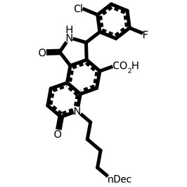 CCCCCCCCCCCCCCn1c(=O)ccc2c3c(c(C(=O)O)cc21)C(c1cc(F)ccc1Cl)NC3=O